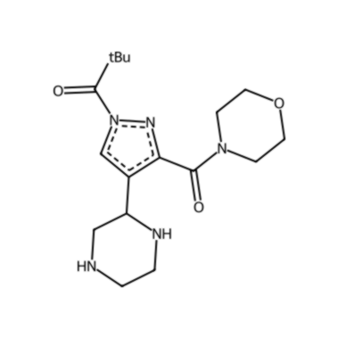 CC(C)(C)C(=O)n1cc(C2CNCCN2)c(C(=O)N2CCOCC2)n1